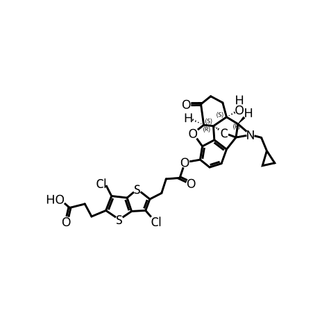 O=C(O)CCc1sc2c(Cl)c(CCC(=O)Oc3ccc4c5c3O[C@H]3C(=O)CC[C@@]6(O)[C@@H]7N(CC8CC8)C47C[C@]536)sc2c1Cl